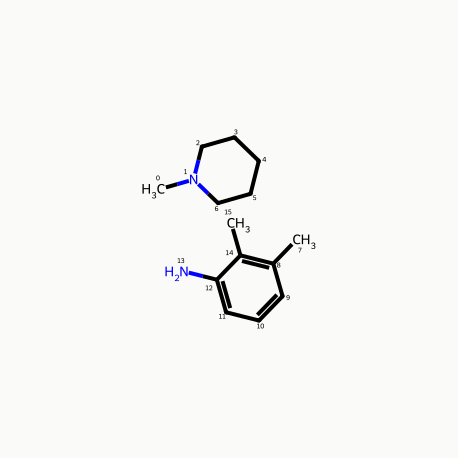 CN1CCCCC1.Cc1cccc(N)c1C